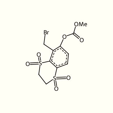 COC(=O)Oc1ccc2c(c1CBr)S(=O)(=O)CCS2(=O)=O